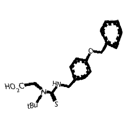 CC(C)(C)N(CC(=O)O)C(=S)NCc1ccc(OCc2ccccc2)cc1